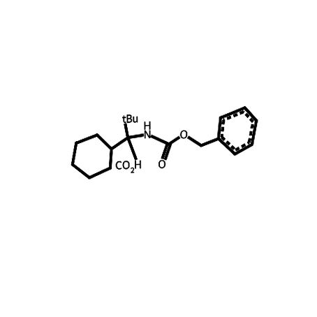 CC(C)(C)C(NC(=O)OCc1ccccc1)(C(=O)O)C1CCCCC1